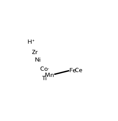 [Ce].[Co].[H+].[Mn][Fe].[Ni].[Ti].[Zr]